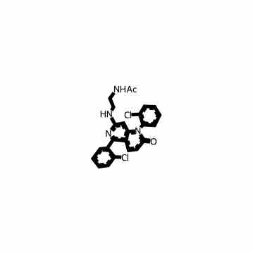 CC(=O)NCCNc1cc2c(ccc(=O)n2-c2ccccc2Cl)c(-c2ccccc2Cl)n1